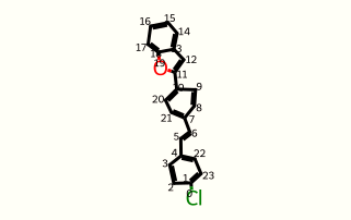 Clc1ccc(C=Cc2ccc(-c3cc4ccccc4o3)cc2)cc1